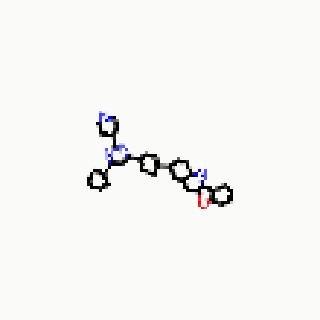 c1ccc(-c2cc(-c3ccc(-c4ccc5nc6c(cc5c4)oc4ccccc46)cc3)nc(-c3ccncc3)n2)cc1